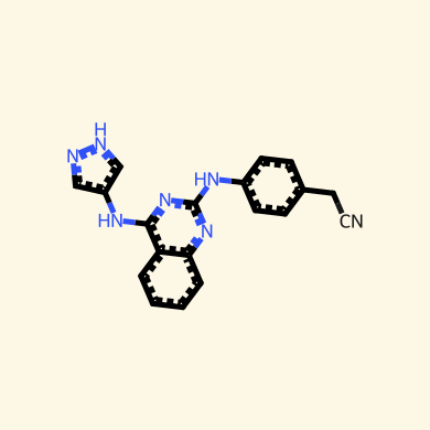 N#CCc1ccc(Nc2nc(Nc3cn[nH]c3)c3ccccc3n2)cc1